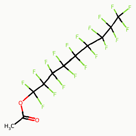 CC(=O)OC(F)(F)C(F)(F)C(F)(F)C(F)(F)C(F)(F)C(F)(F)C(F)(F)C(F)(F)C(F)(F)F